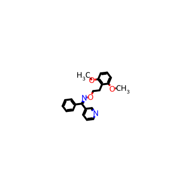 COc1cccc(OC)c1CCON=C(c1ccccc1)c1cccnc1